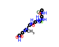 C[C@H]1CN(c2ccc(C3CCC(=O)NC3=O)cc2)CCN1CCC1CCN(NC(=O)c2ccc(Nc3ncc(F)c(Nc4ccc(C(=O)Nc5ccccc5Cl)cc4)n3)cc2)CC1